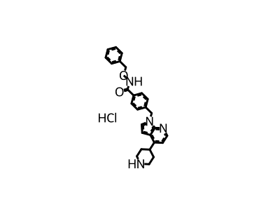 Cl.O=C(NOCc1ccccc1)c1ccc(Cn2ccc3c(C4CCNCC4)ccnc32)cc1